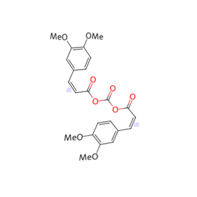 COc1ccc(/C=C\C(=O)OC(=O)OC(=O)/C=C\c2ccc(OC)c(OC)c2)cc1OC